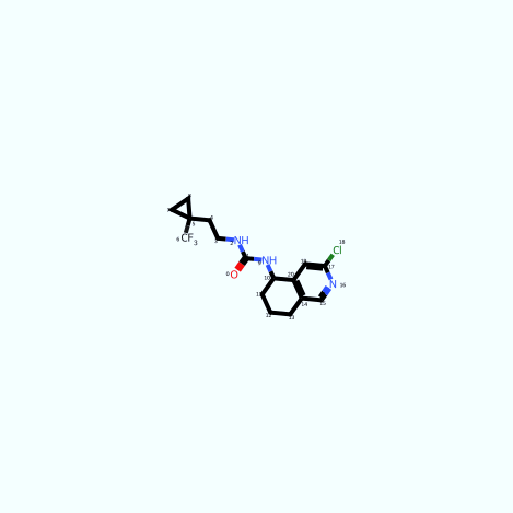 O=C(NCCC1(C(F)(F)F)CC1)NC1CCCc2cnc(Cl)cc21